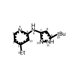 CCc1ccnc(Nc2cc(C(C)(C)C)[nH]n2)c1